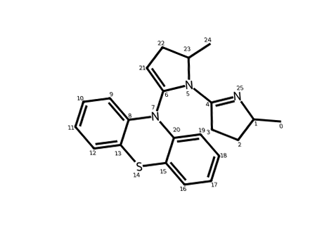 CC1CCC(N2C(N3c4ccccc4Sc4ccccc43)=CCC2C)=N1